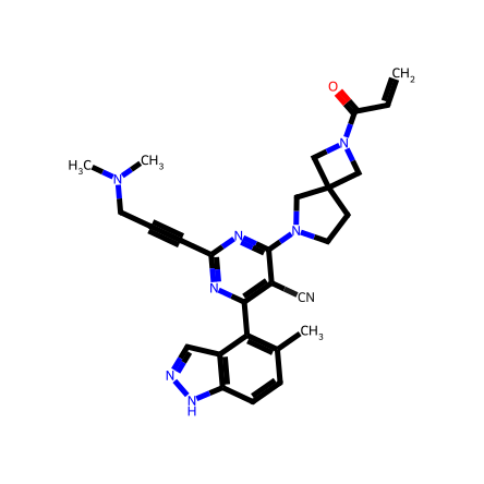 C=CC(=O)N1CC2(CCN(c3nc(C#CCN(C)C)nc(-c4c(C)ccc5[nH]ncc45)c3C#N)C2)C1